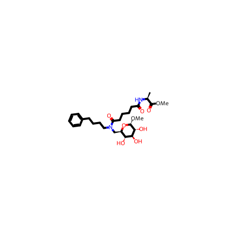 COC(=O)[C@H](C)NC(=O)CCCCC(=O)N(CCCCc1ccccc1)C[C@H]1O[C@H](OC)[C@H](O)[C@@H](O)[C@@H]1O